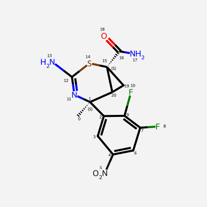 C[C@]1(c2cc([N+](=O)[O-])cc(F)c2F)N=C(N)S[C@@]2(C(N)=O)CC21